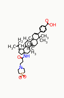 C=C(C)[C@@H]1CC[C@]2(NC(=O)CCN3CCS(=O)(=O)CC3)CC[C@]3(C)[C@H](CCC4[C@@]5(C)CC=C(c6ccc(C(=O)O)cc6)C(C)(C)C5CC[C@]43C)C12